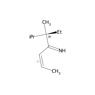 C/C=C\C(=N)[C@](C)(CC)C(C)C